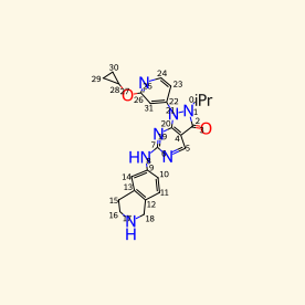 CC(C)n1c(=O)c2cnc(Nc3ccc4c(c3)CCNC4)nc2n1-c1ccnc(OC2CC2)c1